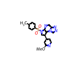 COc1cc(-c2cn(S(=O)(=O)c3ccc(C)cc3)c3ncc4nncn4c23)ccn1